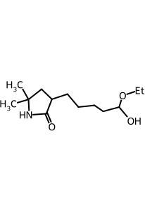 CCOC(O)CCCCC1CC(C)(C)NC1=O